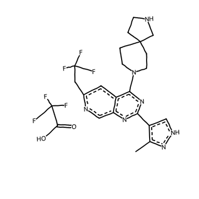 Cc1n[nH]cc1-c1nc(N2CCC3(CCNC3)CC2)c2cc(CC(F)(F)F)ncc2n1.O=C(O)C(F)(F)F